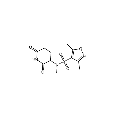 Cc1noc(C)c1S(=O)(=O)N(C)C1CCC(=O)NC1=O